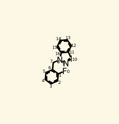 Fc1ccccc1CN1N=Ic2ccccc21